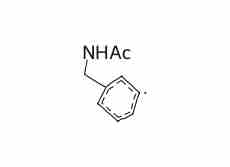 CC(=O)NCc1c[c]ccc1